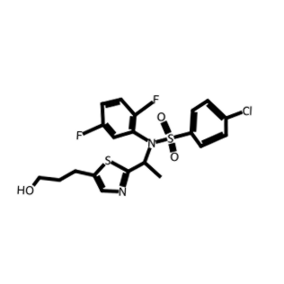 CC(c1ncc(CCCO)s1)N(c1cc(F)ccc1F)S(=O)(=O)c1ccc(Cl)cc1